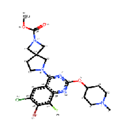 CN1CCC(Oc2nc(N3CCC4(CN(C(=O)OC(C)(C)C)C4)C3)c3cc(Cl)c(Br)c(F)c3n2)CC1